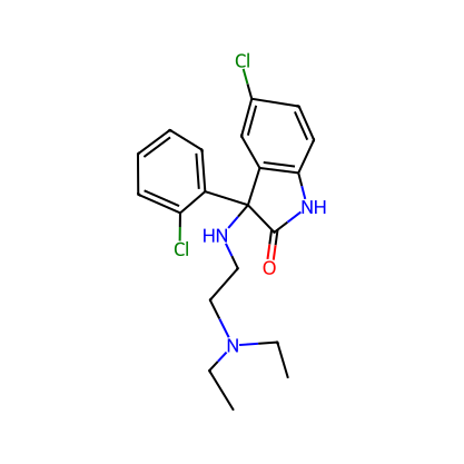 CCN(CC)CCNC1(c2ccccc2Cl)C(=O)Nc2ccc(Cl)cc21